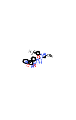 Cc1ccc(-n2nc(C(C)(C)C)cc2NC(=O)Nc2cccc(CC3CC4CCC(C3)N4C3CCc4nonc4C3=O)c2)cc1